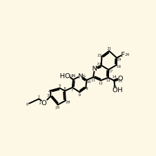 CCOc1ccc(-c2ccc(-c3cc(C(=O)O)c4cc(F)ccc4n3)nc2O)cc1